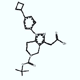 CC(C)(C)OC(=O)N1CCc2c(c(CC(=O)O)nn2-c2ccc(C3CCC3)cc2)C1